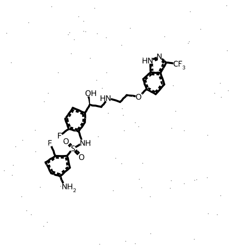 Nc1ccc(F)c(S(=O)(=O)Nc2cc([C@@H](O)CNCCOc3ccc4c(C(F)(F)F)n[nH]c4c3)ccc2F)c1